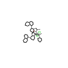 CC1=Cc2c(-c3cccc4ccccc34)cccc2[CH]1[Hf]([Cl])([Cl])([CH]1C(C)=Cc2c(-c3cccc4ccccc34)cccc21)[SiH](C)c1ccccc1